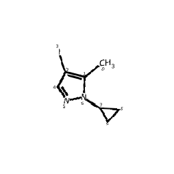 Cc1c(I)cnn1C1CC1